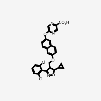 O=C(O)c1cnc(Oc2ccc3cc(OCC4C(c5c(Cl)cccc5Cl)=NOC4C4CC4)ccc3c2)cn1